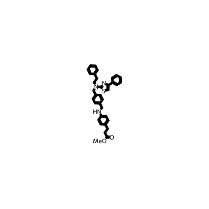 COC(=O)CCc1ccc(NCc2ccc(CN(CCc3ccccc3)c3nc(-c4ccccc4)cs3)cc2)cc1